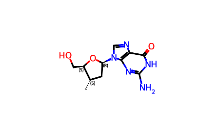 C[C@H]1C[C@H](n2cnc3c(=O)[nH]c(N)nc32)O[C@@H]1CO